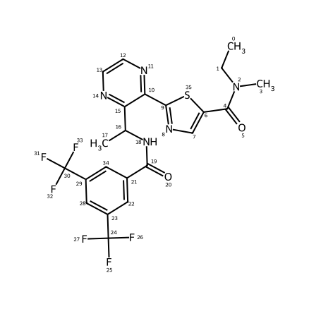 CCN(C)C(=O)c1cnc(-c2nccnc2C(C)NC(=O)c2cc(C(F)(F)F)cc(C(F)(F)F)c2)s1